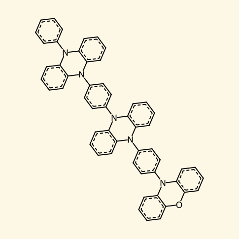 c1ccc(N2c3ccccc3N(c3ccc(N4c5ccccc5N(c5ccc(N6c7ccccc7Oc7ccccc76)cc5)c5ccccc54)cc3)c3ccccc32)cc1